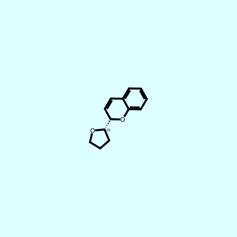 C1=CC([C@@H]2CCCO2)Oc2ccccc21